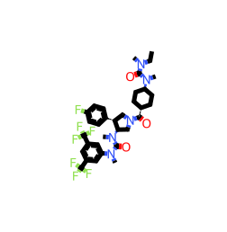 CCN(C)C(=O)N(C)[C@H]1CC[C@H](C(=O)N2C[C@@H](N(C)C(=O)N(C)c3cc(C(F)(F)F)cc(C(F)(F)F)c3)[C@H](c3ccc(F)cc3)C2)CC1